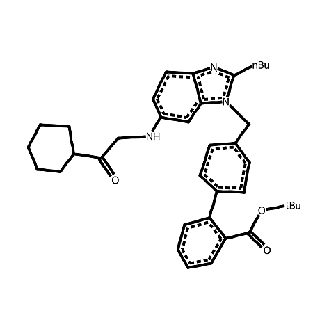 CCCCc1nc2ccc(NCC(=O)C3CCCCC3)cc2n1Cc1ccc(-c2ccccc2C(=O)OC(C)(C)C)cc1